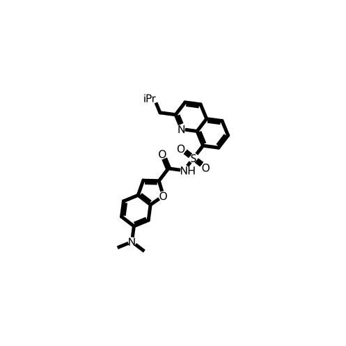 CC(C)Cc1ccc2cccc(S(=O)(=O)NC(=O)c3cc4ccc(N(C)C)cc4o3)c2n1